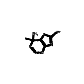 CC(C)c1nc2c(s1)C(C)(P)N=CO2